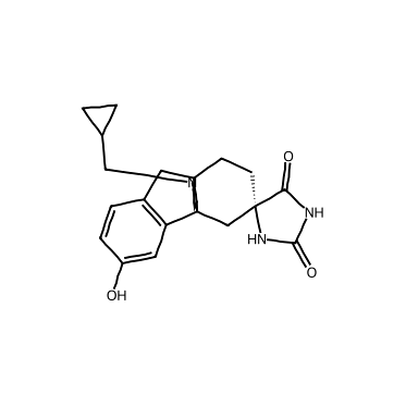 O=C1NC(=O)[C@@]2(CCC34Cc5ccc(O)cc5[C@@]3(CCN(CC3CC3)C4)C2)N1